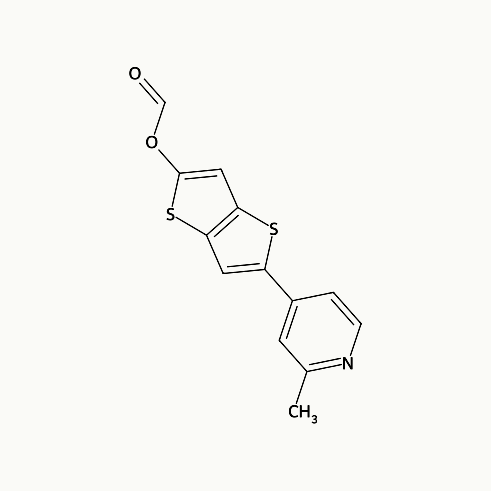 Cc1cc(-c2cc3sc(OC=O)cc3s2)ccn1